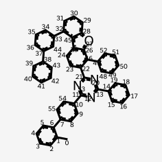 Cc1ccccc1-c1ccc(-c2nc(-c3ccccc3)nc(-c3ccc4c(oc5cccc(-c6cccc(-c7ccccc7)c6)c54)c3-c3ccccc3)n2)cc1